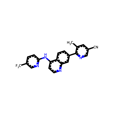 Cc1cc(C#N)cnc1-c1ccc2c(Nc3ccc(C(F)(F)F)cn3)ccnc2c1